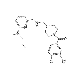 CCCN(C)c1cccc(CNCC2CCN(C(=O)c3ccc(Cl)c(Cl)c3)CC2)n1